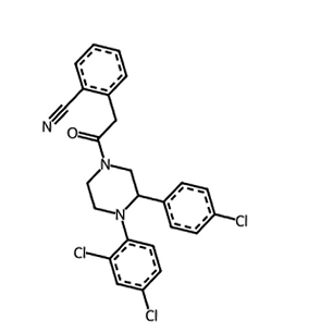 N#Cc1ccccc1CC(=O)N1CCN(c2ccc(Cl)cc2Cl)C(c2ccc(Cl)cc2)C1